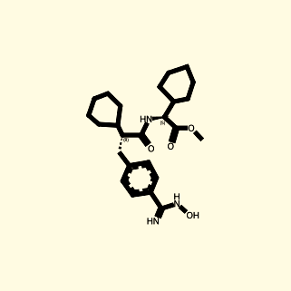 COC(=O)[C@@H](NC(=O)[C@H](Cc1ccc(C(=N)NO)cc1)C1CCCCC1)C1CCCCC1